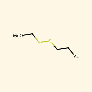 COCSSCCC(C)=O